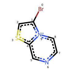 Brc1csc2cncc[n+]12